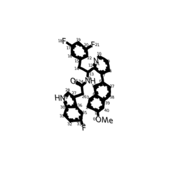 COc1ccc2cc(-c3cccnc3C(Cc3cc(F)cc(F)c3)NC(=O)Cc3c[nH]c4ccc(F)cc34)ccc2c1